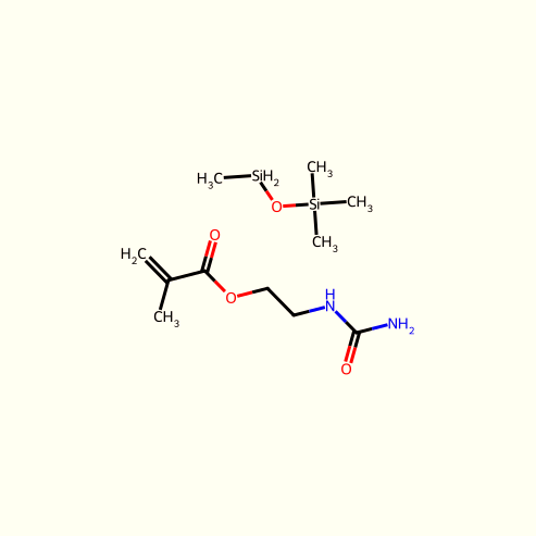 C=C(C)C(=O)OCCNC(N)=O.C[SiH2]O[Si](C)(C)C